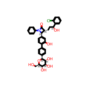 O=C1[C@H](CC[C@H](O)c2ccccc2Cl)[C@@H](c2ccc(-c3ccc([C@@H]4O[C@H](CO)[C@@H](O)[C@H](O)[C@H]4O)cc3)c(O)c2)N1c1ccccc1